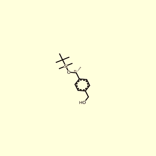 C[C@@H](O[Si](C)(C)C(C)(C)C)c1ccc(CO)cc1